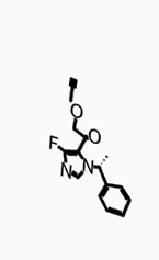 C#CCOCC(=O)c1c(F)ncn1[C@H](C)c1ccccc1